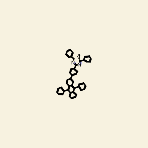 C=N/C(=N\C(=N/Cc1ccccc1)c1ccc(-c2ccc3c(-c4ccccc4)c4ccccc4c(-c4ccccc4)c3c2)cc1)c1ccccc1